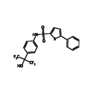 O=S(=O)(Nc1ccc(C(O)(C(F)(F)F)C(F)(F)F)cc1)c1ccc(-c2ccccc2)s1